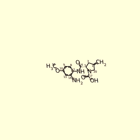 C=C1C[C@@H](C(=O)Nc2ccc(OC)cc2N)N(C(=O)O)C1